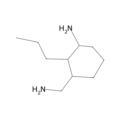 CCCC1C(N)CCCC1CN